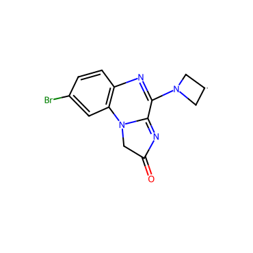 O=C1CN2C(=N1)C(N1C[CH]C1)=Nc1ccc(Br)cc12